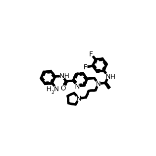 C=C(Nc1ccc(F)c(F)c1)N(CCCN1CCCC1)Cc1ccc(C(=O)Nc2ccccc2N)nc1